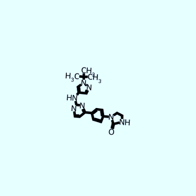 CC(C)(C)n1cc(Nc2nccc(-c3ccc(N4CCNC4=O)cc3)n2)cn1